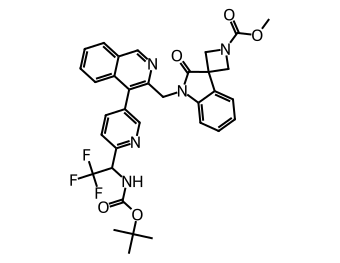 COC(=O)N1CC2(C1)C(=O)N(Cc1ncc3ccccc3c1-c1ccc(C(NC(=O)OC(C)(C)C)C(F)(F)F)nc1)c1ccccc12